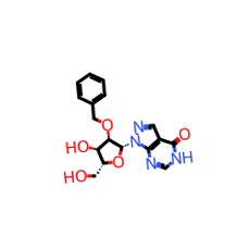 O=c1[nH]cnc2c1cnn2[C@@H]1O[C@H](CO)[C@@H](O)[C@H]1OCc1ccccc1